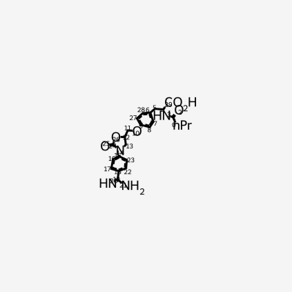 CCCC(=O)NC(Cc1ccc(OCC2CN(c3ccc(C(=N)N)cc3)C(=O)O2)cc1)C(=O)O